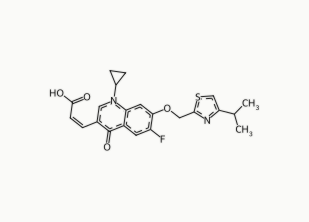 CC(C)c1csc(COc2cc3c(cc2F)c(=O)c(/C=C\C(=O)O)cn3C2CC2)n1